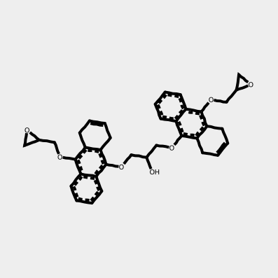 OC(COc1c2c(c(OCC3CO3)c3ccccc13)CC=CC2)COc1c2c(c(OCC3CO3)c3ccccc13)CC=CC2